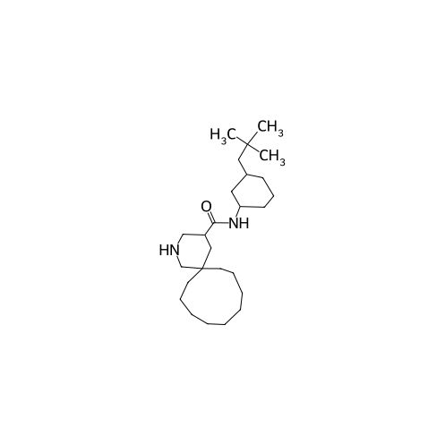 CC(C)(C)CC1CCCC(NC(=O)C2CNCC3(CCCCCCCCC3)C2)C1